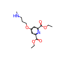 CCOC(=O)c1cc(OCCCNC)cc(C(=O)OCC)n1